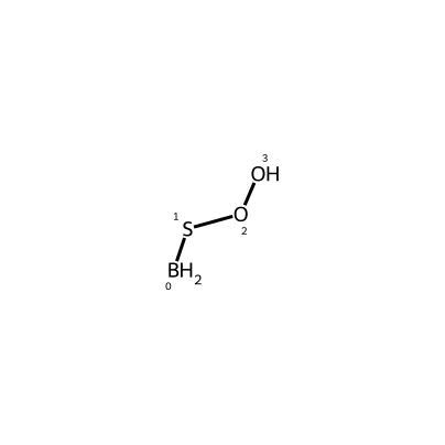 BSOO